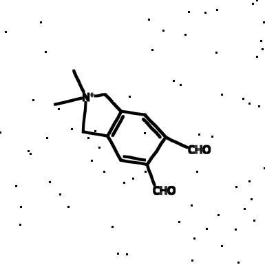 C[N+]1(C)Cc2cc(C=O)c(C=O)cc2C1